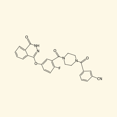 N#Cc1cccc(C(=O)N2CCN(C(=O)c3cc(Oc4n[nH]c(=O)c5ccccc45)ccc3F)CC2)c1